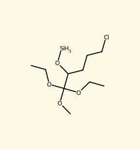 CCOC(OC)(OCC)C(CCCCl)O[SiH3]